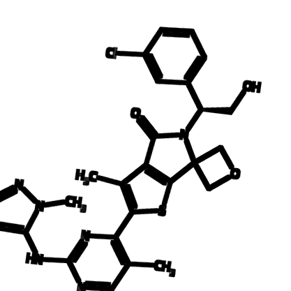 Cc1cnc(Nc2ccnn2C)nc1-c1sc2c(c1C)C(=O)N([C@H](CO)c1cccc(Cl)c1)C21COC1